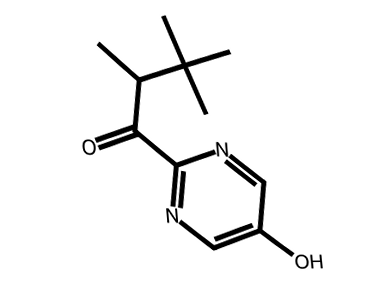 CC(C(=O)c1ncc(O)cn1)C(C)(C)C